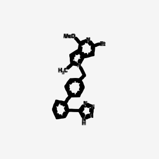 CCc1cc2c(cc(C)n2Cc2ccc(-c3ccccc3-c3nnn[nH]3)cc2)c(OC)n1